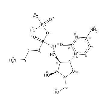 NCCOP(=O)(O)OP(=O)(O)O.Nc1ccn([C@@H]2O[C@H](CO)[C@@H](O)[C@H]2O)c(=O)n1